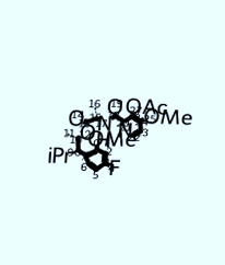 COc1cc(F)ccc1[C@@H](C(C)C)[C@H](C)OC(=O)[C@H](C)NC(=O)c1nccc(OC)c1OC(C)=O